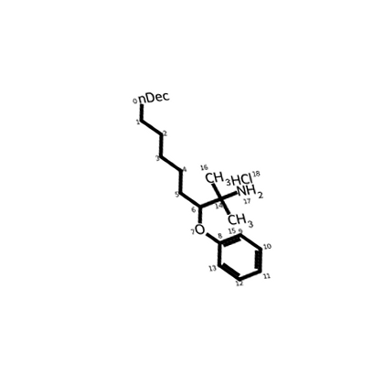 CCCCCCCCCCCCCCCC(Oc1ccccc1)C(C)(C)N.Cl